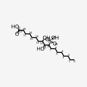 CCCCCCCCC(C(O)C(O)CCCCCCC(=O)O)S(=O)(=O)O